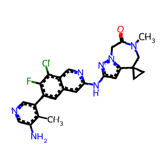 Cc1c(N)cncc1-c1cc2cc(Nc3cc4n(n3)CC(=O)N(C)CC43CC3)ncc2c(Cl)c1F